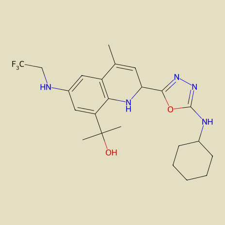 CC1=CC(c2nnc(NC3CCCCC3)o2)Nc2c1cc(NCC(F)(F)F)cc2C(C)(C)O